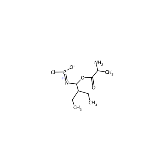 CCC(CC)C(/N=[P+](\[O-])Cl)OC(=O)C(C)N